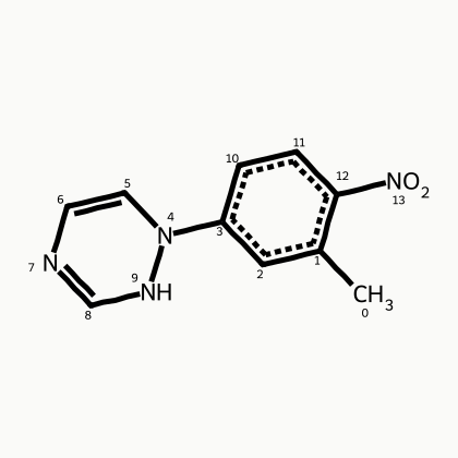 Cc1cc(N2C=CN=CN2)ccc1[N+](=O)[O-]